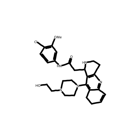 COc1cc(NC(=O)CC2NCCc3nc4c(c(N5CCN(CCO)CC5)c32)CCC=C4)ccc1Cl